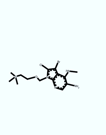 CNc1c(N)cnc2c1c(Br)c(Cl)n2COCC[Si](C)(C)C